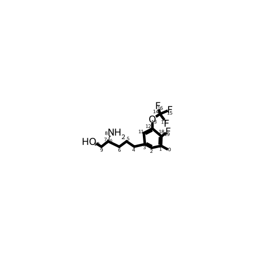 Cc1cc(CCC[C@@H](N)CO)cc(OC(F)(F)F)c1F